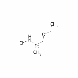 CCOC[C@H](C)NCl